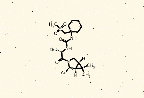 CC(=O)[C@@H]1[C@@H]2[C@H](CN1C(=O)[C@@H](NC(=O)NC1(CS(C)(=O)=O)CCCCC1)C(C)(C)C)C2(C)C